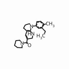 CCc1cc(N2CCCC3=C2NCC(C(=O)N2CCCCC2)=C3)ccc1C